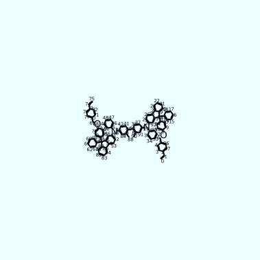 C=Cc1ccc(COc2ccc(C3(c4ccccc4)c4ccccc4-c4ccc(N(c5ccccc5)c5ccc(-c6ccc(N(c7ccccc7)c7ccc8c(c7)C(c7ccccc7)(c7ccc(OCc9ccc(C=C)cc9)cc7)c7ccccc7-8)cc6C)c(C)c5)cc43)cc2)cc1